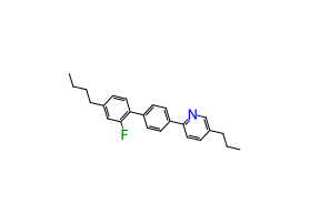 CCCCc1ccc(-c2ccc(-c3ccc(CCC)cn3)cc2)c(F)c1